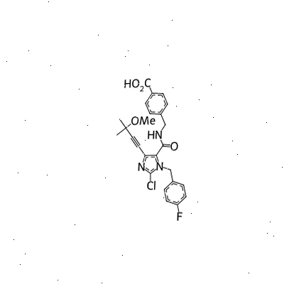 COC(C)(C)C#Cc1nc(Cl)n(Cc2ccc(F)cc2)c1C(=O)NCc1ccc(C(=O)O)cc1